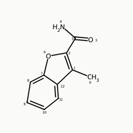 Cc1c(C(N)=O)oc2ccccc12